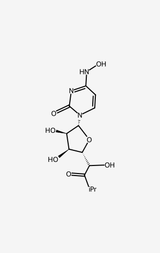 CC(C)C(=O)C(O)[C@H]1O[C@@H](n2ccc(NO)nc2=O)[C@H](O)[C@@H]1O